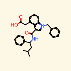 CC(C)CC(NC(=O)c1cn(Cc2ccccc2)c2cccc(CC(=O)O)c12)c1ccccc1